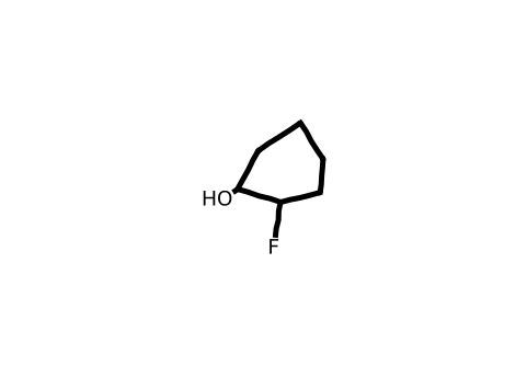 OC1CCCCC1F